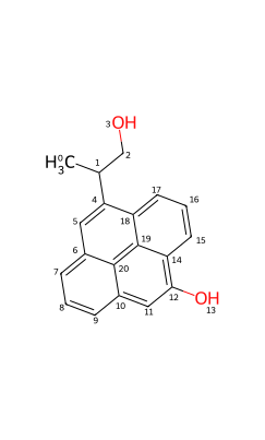 CC(CO)c1cc2cccc3cc(O)c4cccc1c4c32